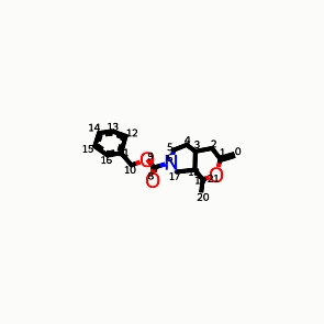 C=C1CC2CCN(C(=O)OCc3ccccc3)CC2C(C)O1